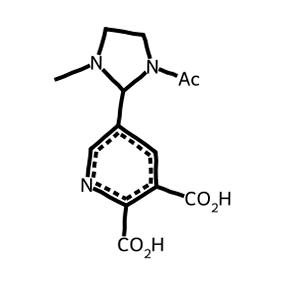 CC(=O)N1CCN(C)C1c1cnc(C(=O)O)c(C(=O)O)c1